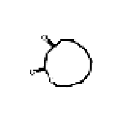 O=C1CCCCCCCCCC(=O)C1